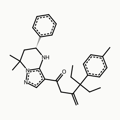 C=C(CC(=O)c1cnn2c1N[C@@H](c1ccccc1)CC2(C)C)C(CC)(CC)c1ccc(C)cc1